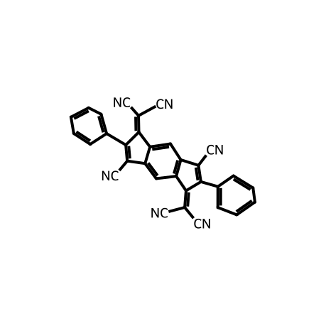 N#CC(C#N)=C1C(c2ccccc2)=C(C#N)c2cc3c(cc21)C(C#N)=C(c1ccccc1)C3=C(C#N)C#N